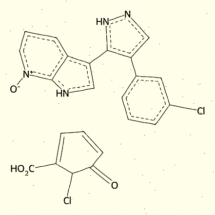 O=C(O)C1=CC=CC(=O)C1Cl.[O-][n+]1cccc2c(-c3[nH]ncc3-c3cccc(Cl)c3)c[nH]c21